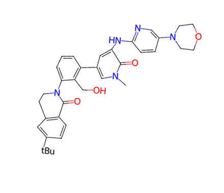 Cn1cc(-c2cccc(N3CCc4cc(C(C)(C)C)ccc4C3=O)c2CO)cc(Nc2ccc(N3CCOCC3)cn2)c1=O